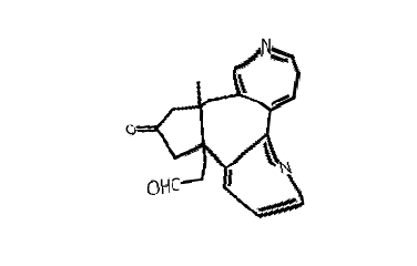 CC12CC(=O)CC1(CC=O)c1cccnc1-c1ccncc12